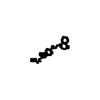 O=C(O)C(O)Cc1ccc(OCCN2CCOc3ccccc32)cc1